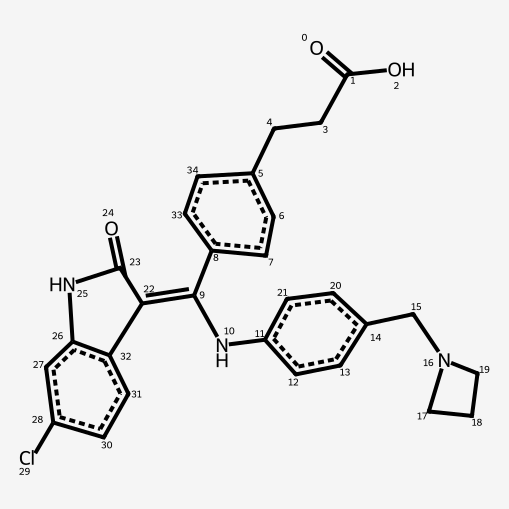 O=C(O)CCc1ccc(C(Nc2ccc(CN3CCC3)cc2)=C2C(=O)Nc3cc(Cl)ccc32)cc1